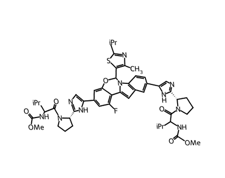 COC(=O)NC(C(=O)N1CCC[C@H]1c1ncc(-c2cc(F)c3c(c2)OC(c2sc(C(C)C)nc2C)n2c-3cc3cc(-c4cnc([C@@H]5CCCN5C(=O)C(NC(=O)OC)C(C)C)[nH]4)ccc32)[nH]1)C(C)C